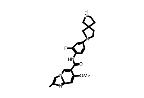 COc1cc2nc(C)cn2cc1C(=O)Nc1ccc(N2CCC3(CCNC3)C2)cc1F